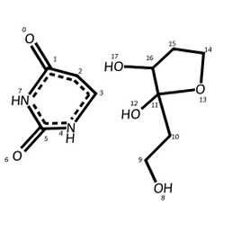 O=c1cc[nH]c(=O)[nH]1.OCCC1(O)OCCC1O